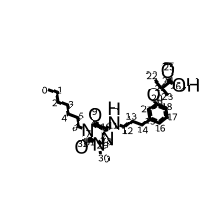 CCCCCCCn1c(=O)c(NCCCc2cccc(OC(C)(C)C(=O)O)c2)nn(C)c1=O